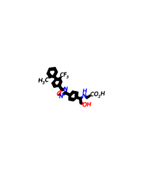 Cc1ccccc1-c1ccc(-c2nc(-c3ccc(C(CO)NCC(=O)O)cc3)no2)cc1C(F)(F)F